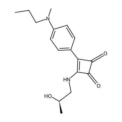 CCCN(C)c1ccc(-c2c(NC[C@@H](C)O)c(=O)c2=O)cc1